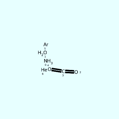 N.O.O=C=O.[Ar].[He]